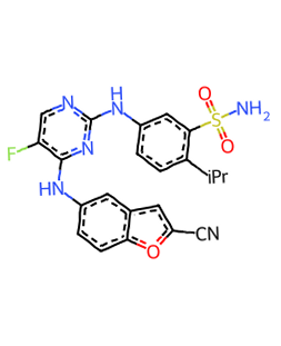 CC(C)c1ccc(Nc2ncc(F)c(Nc3ccc4oc(C#N)cc4c3)n2)cc1S(N)(=O)=O